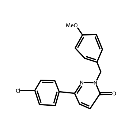 COc1ccc(Cn2nc(-c3ccc(Cl)cc3)ccc2=O)cc1